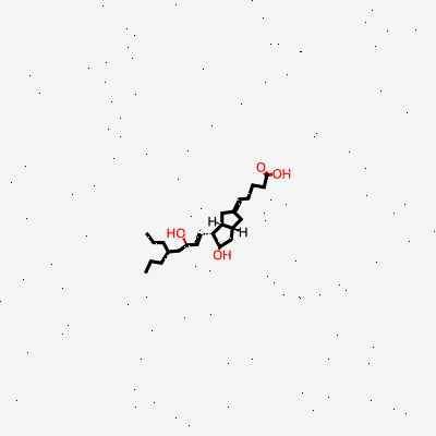 CCCC(CCC)C[C@@H](O)/C=C/[C@@H]1[C@H]2C/C(=C/CCCC(=O)O)C[C@@H]2C[C@H]1O